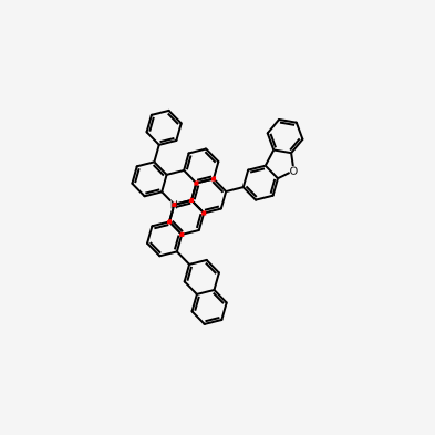 c1ccc(-c2ccccc2-c2c(-c3ccccc3)cccc2N(c2ccc(-c3ccc4oc5ccccc5c4c3)cc2)c2cccc(-c3ccc4ccccc4c3)c2)cc1